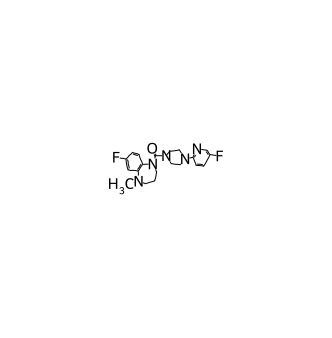 CN1CCCN(C(=O)N2CCN(c3ccc(F)cn3)CC2)c2ccc(F)cc21